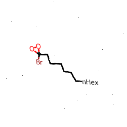 CCCCCCCCCCCCC1(Br)OO1